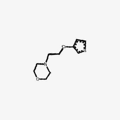 c1cc(OCCN2CCOCC2)cs1